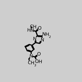 CCN(C(=O)O)c1cccc(-c2cnc(N)c(C(=O)NC)n2)c1